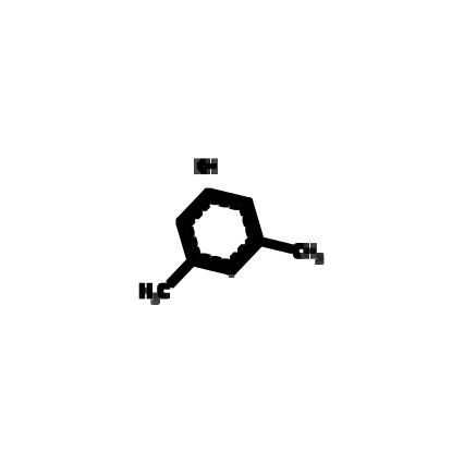 Cc1[c]c(C)ccc1.[KH]